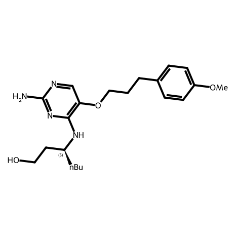 CCCC[C@@H](CCO)Nc1nc(N)ncc1OCCCc1ccc(OC)cc1